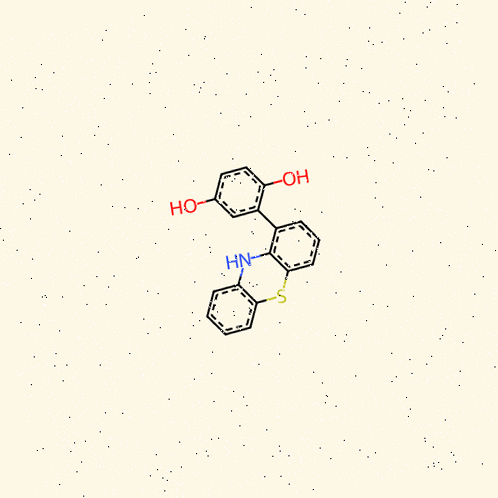 Oc1ccc(O)c(-c2cccc3c2Nc2ccccc2S3)c1